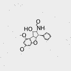 COc1cc(OC)c2c(c1)OC1C2[C@H](O)C(NC=O)[C@H]1c1ccccc1